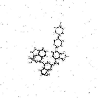 CN1CCN(C2CCN(c3ccc(Nc4nc(Nc5cccc6c5N(S(C)(=O)=O)CC6)c5cc[nH]c5n4)c4c3OCO4)CC2)CC1